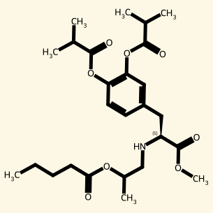 CCCCC(=O)OC(C)CN[C@@H](Cc1ccc(OC(=O)C(C)C)c(OC(=O)C(C)C)c1)C(=O)OC